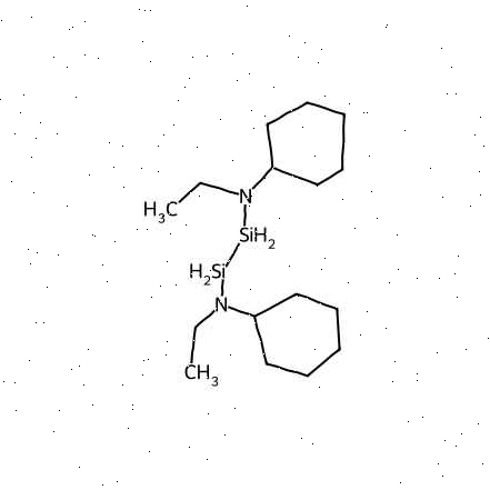 CCN([SiH2][SiH2]N(CC)C1CCCCC1)C1CCCCC1